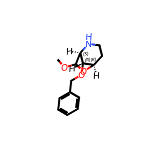 COC1O[C@@H]2CCN[C@H]1[C@H]2OCc1ccccc1